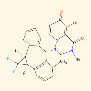 CC1CC=CC2=C1[C@@H](N1CN(C(C)C)C(=O)c3c(O)c(=O)ccn31)c1ccccc1[C@H]1[C@@H]2C1(F)F